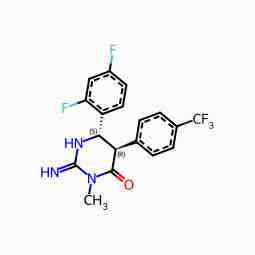 CN1C(=N)N[C@H](c2ccc(F)cc2F)[C@@H](c2ccc(C(F)(F)F)cc2)C1=O